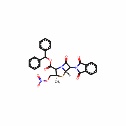 C[C@@]1(CO[N+](=O)[O-])S[C@H]2C(N3C(=O)c4ccccc4C3=O)C(=O)N2C1C(=O)OC(c1ccccc1)c1ccccc1